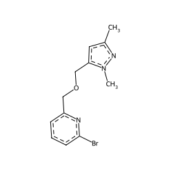 Cc1cc(COCc2cccc(Br)n2)n(C)n1